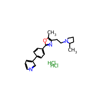 Cc1oc(-c2ccc(-c3cccnc3)cc2)nc1CCN1CCCC1C.Cl.Cl